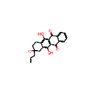 C=CCC1(O)CCc2c(O)c3c(c(O)c2C1)C(=O)c1ccccc1C3=O